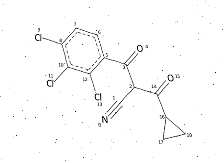 N#CC(C(=O)c1ccc(Cl)c(Cl)c1Cl)C(=O)C1CC1